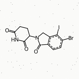 O=C1CCC(N2Cc3c(ccc(Br)c3I)C2=O)C(=O)N1